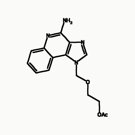 CC(=O)OCCOCn1cnc2c(N)nc3ccccc3c21